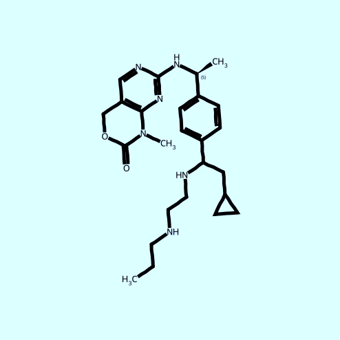 CCCNCCNC(CC1CC1)c1ccc([C@H](C)Nc2ncc3c(n2)N(C)C(=O)OC3)cc1